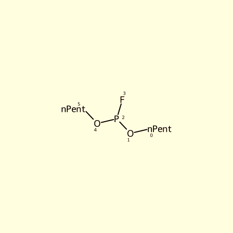 CCCCCOP(F)OCCCCC